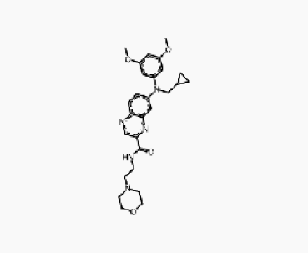 COc1cc(OC)cc(N(CC2CC2)c2ccc3ncc(C(=O)NCCN4CCOCC4)nc3c2)c1